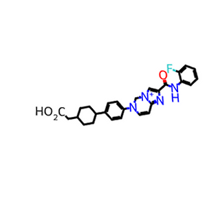 O=C(O)CC1CCC(c2ccc(N3C=CC4=NC(C(=O)Nc5ccccc5F)=C[N+]4C3)cc2)CC1